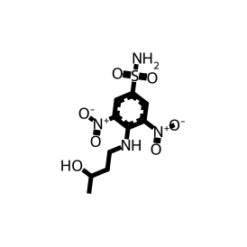 CC(O)CCNc1c([N+](=O)[O-])cc(S(N)(=O)=O)cc1[N+](=O)[O-]